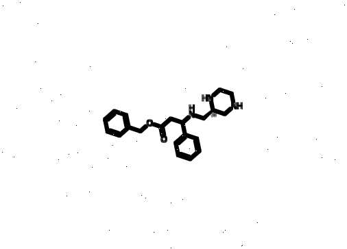 O=C(CC(NC[C@@H]1CNCCN1)c1ccccc1)OCc1ccccc1